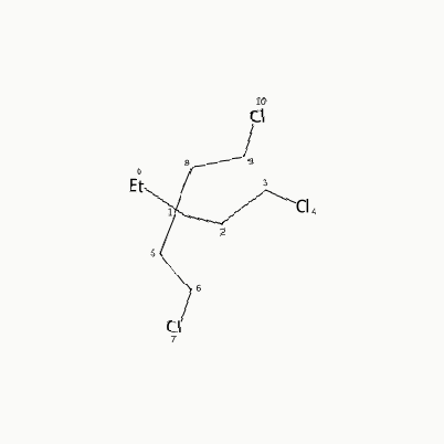 CCC(CCCl)(CCCl)CCCl